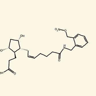 CCCCCCCC(=O)CC[C@@H]1[C@@H](C/C=C\CCCC(=O)NCc2ccccc2CO[N+](=O)[O-])[C@@H](O)C[C@H]1O